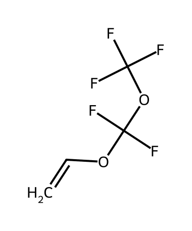 C=COC(F)(F)OC(F)(F)F